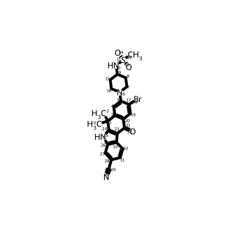 CC1(C)c2cc(N3CCC(NS(C)(=O)=O)CC3)c(Br)cc2C(=O)c2c1[nH]c1cc(C#N)ccc21